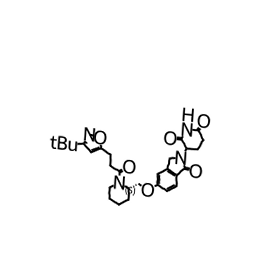 CC(C)(C)c1cc(CCC(=O)N2CCCC[C@H]2COc2ccc3c(c2)CN(C2CCC(=O)NC2=O)C3=O)on1